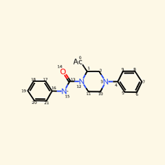 CC(=O)C1CN(c2ccccc2)CCN1C(=O)[N]c1ccccc1